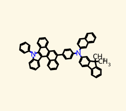 CC1(C)c2ccccc2-c2ccc(N(c3ccc(-c4cc5c6ccccc6c6c(c7ccccc7n6-c6ccccc6)c5c5ccccc45)cc3)c3ccc4ccccc4c3)cc21